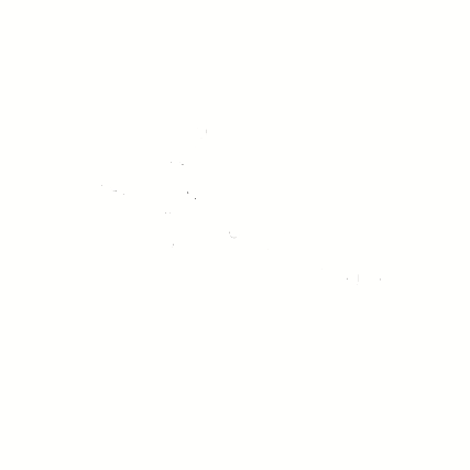 O=Cc1ccc(OCN2C(=O)c3ccccc3C2=O)c2ccccc12